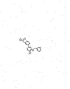 COC(=O)Cc1cccc(-c2ccc(OC)c(OCc3ccccc3)c2)c1